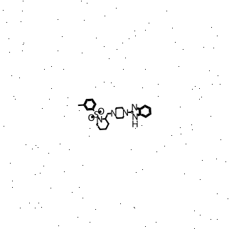 Cc1cccc(S(=O)(=O)N2CCCCC2CN2CCN(c3nc4ccccc4[nH]3)CC2)c1